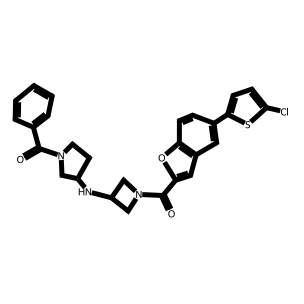 O=C(c1ccccc1)N1CCC(NC2CN(C(=O)c3cc4cc(-c5ccc(Cl)s5)ccc4o3)C2)C1